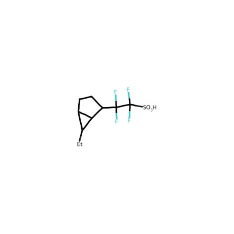 CCC1C2CCC(C(F)(F)C(F)(F)S(=O)(=O)O)C12